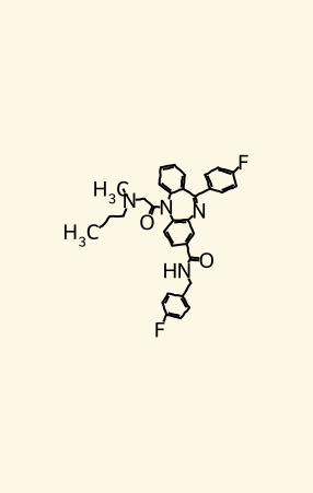 CCCCN(C)CC(=O)N1c2ccc(C(=O)NCc3ccc(F)cc3)cc2N=C(c2ccc(F)cc2)c2ccccc21